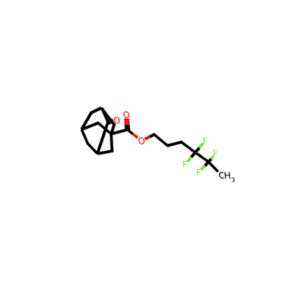 CC(F)(F)C(F)(F)CCCOC(=O)C12CC3CC(C1)C(=O)C(C3)C2